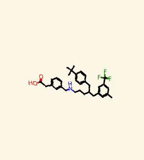 Cc1cc(CC(CCCNCc2cccc(CC(=O)O)c2)Cc2ccc(C(C)(C)C)cc2)cc(C(F)(F)F)c1